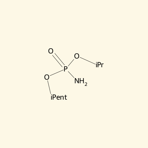 CCCC(C)OP(N)(=O)OC(C)C